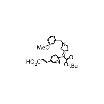 COc1cccc(CN2CC[C@@H](N(C(=O)OC(C)(C)C)c3ccc(C=CC(=O)O)cn3)C2)c1